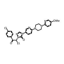 CCC(C(=O)c1ccc(Cl)cc1)n1ncn(-c2ccc(N3CCN(c4ccc(OC)cn4)CC3)nc2)c1=O